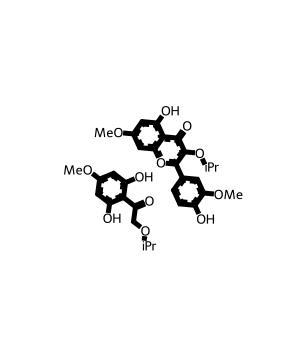 COc1cc(O)c(C(=O)COC(C)C)c(O)c1.COc1cc(O)c2c(=O)c(OC(C)C)c(-c3ccc(O)c(OC)c3)oc2c1